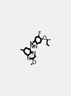 C[CH][C@H](C)Oc1cc2nn(-c3cc(C)cc4nc(OC)cnc34)nc2cc1F